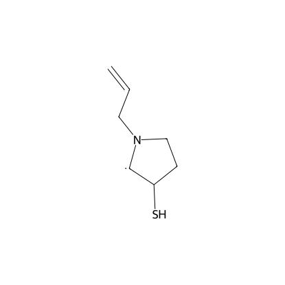 C=CCN1[CH]C(S)CC1